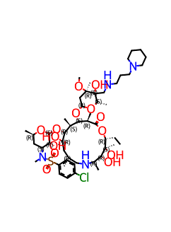 CC[C@H]1OC(=O)[C@H](C)[C@@H](O[C@H]2C[C@@](C)(OC)[C@](O)(CNCCCN3CCCCC3)[C@H](C)O2)[C@H](C)[C@@H](O[C@@H]2O[C@H](C)C[C@H](N(C)S(=O)(=O)c3ccc(Cl)cc3)[C@H]2O)[C@](C)(O)C[C@@H](C)CN[C@H](C)[C@@H](O)[C@]1(C)O